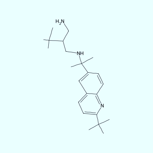 CC(C)(C)c1ccc2cc(C(C)(C)NCC(CN)C(C)(C)C)ccc2n1